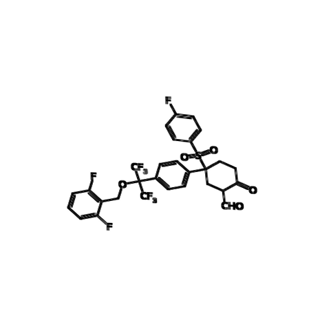 O=CC1CC(c2ccc(C(OCc3c(F)cccc3F)(C(F)(F)F)C(F)(F)F)cc2)(S(=O)(=O)c2ccc(F)cc2)CCC1=O